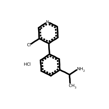 CC(N)c1cccc(-c2ccncc2Cl)c1.Cl